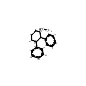 CC.c1ccc(C2CCCCC2c2ccccc2)cc1